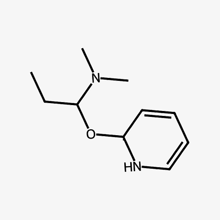 CCC(O[C]1C=CC=CN1)N(C)C